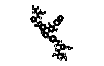 COC[C@H]1C[C@@H](C(=O)Nc2ccc([C@H]3CC[C@@H]4c5cc6[nH]c([C@@H]7CCCN7C(=O)[C@@H](NC(=O)OC)[C@@H](C)OC)nc6cc5-c5c(cc(F)c(N6CC[Si]7(CCCC7)CC6)c5F)N34)cc2)N(C(=O)[C@@H](NC(=O)OC)[C@@H](C)OC)C1